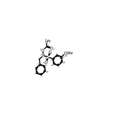 CCCC(=O)ON(Cc1ccccc1)S(=O)(=O)c1cccc(OC)c1